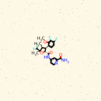 COc1c([C@H]2[C@H](C(=O)Nc3ccnc(C(N)=O)c3)O[C@](C)(C(F)F)[C@H]2C)ccc(F)c1F